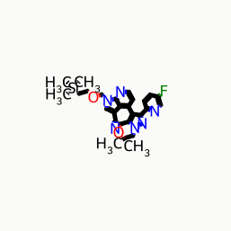 CC1(C)Cn2nc(-c3ccc(F)cn3)c(-c3ccnc4c3c(C#N)cn4COCC[Si](C)(C)C)c2CO1